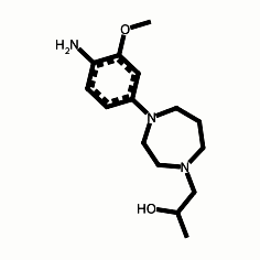 COc1cc(N2CCCN(CC(C)O)CC2)ccc1N